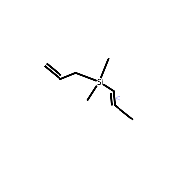 C=CC[Si](C)(C)/C=C/C